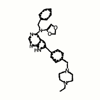 CCN1CCN(Cc2ccc(-c3cc4c(N(Cc5ccccc5)C5=COCO5)ncnc4[nH]3)cc2)CC1